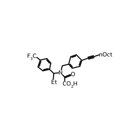 CCCCCCCCC#Cc1ccc(CN(C(=O)C(=O)O)C(CC)c2ccc(C(F)(F)F)cc2)cc1